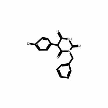 O=C1NC(=O)N(Cc2ccccc2)C(=O)C1c1ccc(Cl)cc1